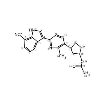 Cc1nc(-c2c[nH]c3c(C#N)cccc23)cnc1N1CCC(OC(N)=O)C1